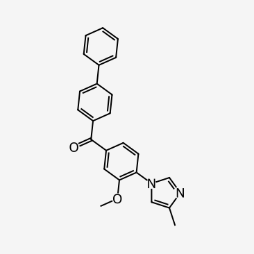 COc1cc(C(=O)c2ccc(-c3ccccc3)cc2)ccc1-n1cnc(C)c1